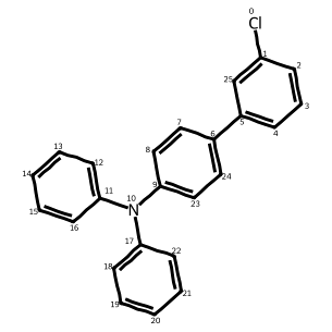 Clc1cccc(-c2ccc(N(c3ccccc3)c3ccccc3)cc2)c1